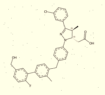 Cc1cc(-c2cc(CO)ccc2F)ccc1Cc1ccc(N2N=C(c3cccc(Cl)c3)[C@@H](C)[C@@H]2CC(=O)O)cc1